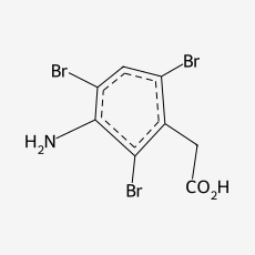 Nc1c(Br)cc(Br)c(CC(=O)O)c1Br